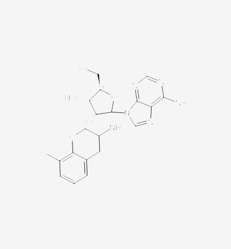 Nc1ncnc2c1ncn2[C@]1(NC2COc3c(Cl)cccc3C2)O[C@H](CO)[C@@H](O)[C@H]1O